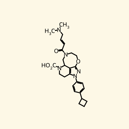 CN(C)CC=CC(=O)N1CCOc2nn(-c3ccc(C4CCC4)cc3)c3c2C(C1)N(C(=O)O)CC3